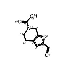 O=Cc1cc2c(s1)CN(C(=O)O)CC2